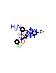 CC(C)c1ccc2c(Nc3cc(C(=O)Nc4cccc(Br)c4)sc3Sc3ccc(N)cc3)ncnc2n1